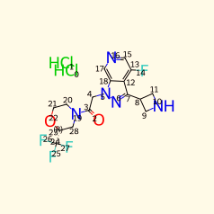 Cl.Cl.O=C(Cn1nc(C2CNC2)c2c(F)cncc21)N1CCO[C@@H](C(F)(F)F)C1